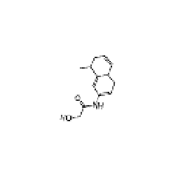 CC1CC=CC2CC=C(NC(=O)CO)C=C12